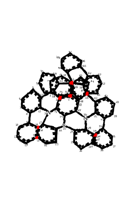 c1ccc(-c2cccc(-c3ccccc3)c2N2c3ccccc3B3c4ccccc4N(c4c(-c5ccccc5)cccc4-c4ccccc4)c4cc(C5(c6ccccc6)c6ccccc6-c6ccccc65)cc2c43)cc1